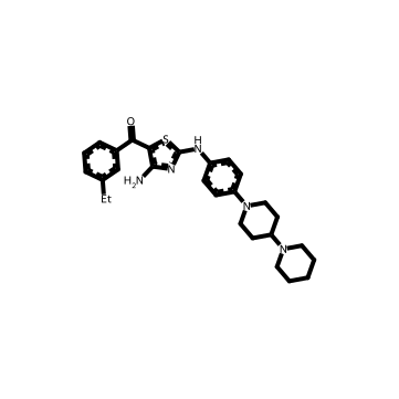 CCc1cccc(C(=O)c2sc(Nc3ccc(N4CCC(N5CCCCC5)CC4)cc3)nc2N)c1